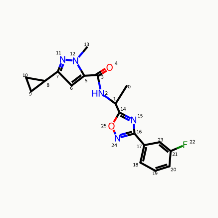 CC(NC(=O)c1cc(C2CC2)nn1C)c1nc(-c2cccc(F)c2)no1